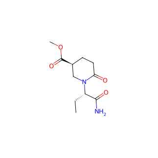 CC[C@@H](C(N)=O)N1C[C@@H](C(=O)OC)CCC1=O